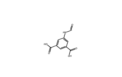 O=[C]Nc1cc(C(=O)O)cc(C(=O)O)c1